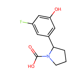 O=C(O)N1CCCC1c1cc(O)cc(F)c1